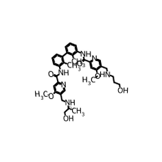 COc1cc(C(=O)Nc2cccc(-c3cccc(NC(=O)c4cc(OC)c(CN[C@@H](C)CO)cn4)c3C)c2C)ncc1CNCCCO